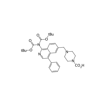 CC(C)(C)OC(=O)N(C(=O)OC(C)(C)C)c1ncc(-c2ccccc2)c2cc(CN3CCN(C(=O)O)CC3)ccc12